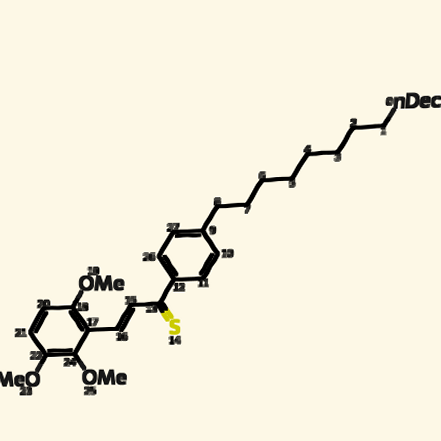 CCCCCCCCCCCCCCCCCCc1ccc(C(=S)C=Cc2c(OC)ccc(OC)c2OC)cc1